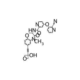 CN1C(=O)[C@@H](NC(=O)c2cc(Oc3cccnc3C#N)ccn2)COc2ccc(C#CC3(O)COC3)cc21